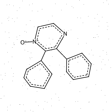 [O-][n+]1ccnc(-c2ccccc2)c1-c1ccccc1